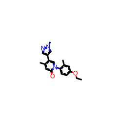 CCOc1ccc(-n2cc(-c3cnn(C)c3)c(C)cc2=O)c(C)c1